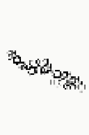 COc1ccc(CNc2nccc(C(=O)c3ncc(N4CCC(C)(C(C)N[S@+]([O-])C(C)(C)C)CC4)nc3Cl)c2Cl)cc1